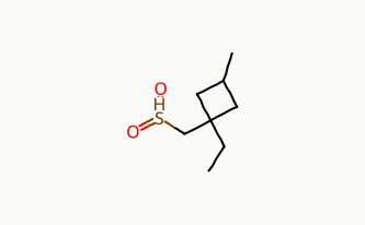 CCC1(C[SH](=O)=O)CC(C)C1